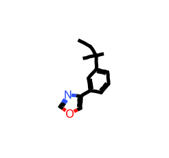 CCC(C)(C)c1cccc(-c2cocn2)c1